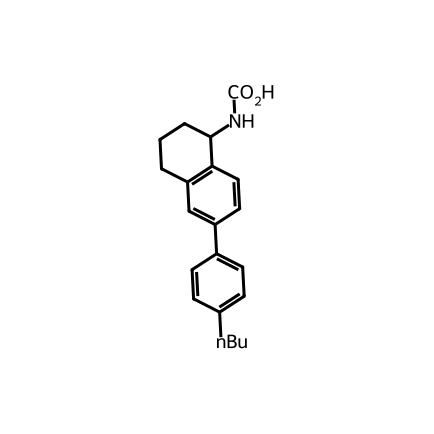 CCCCc1ccc(-c2ccc3c(c2)CCCC3NC(=O)O)cc1